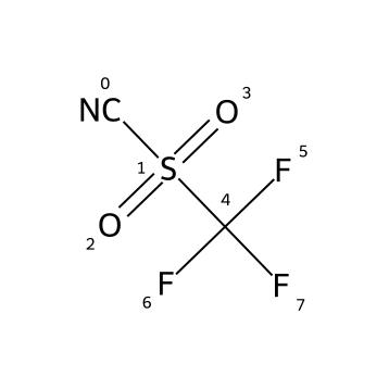 N#CS(=O)(=O)C(F)(F)F